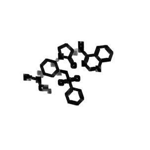 CC(C)N(C)[C@@H]1CC[C@H](N2CC[C@H](Nc3ncnc4ccccc34)C2=O)[C@@H](CS(=O)(=O)c2ccccc2)C1